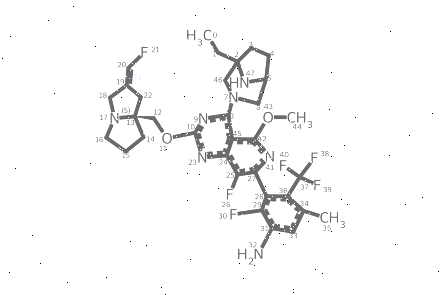 CCC12CCC(CN(c3nc(OC[C@@]45CCCN4C/C(=C/F)C5)nc4c(F)c(-c5c(F)c(N)cc(C)c5C(F)(F)F)nc(OC)c34)C1)N2